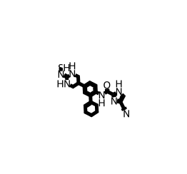 N#Cc1c[nH]c(C(=O)Nc2ccc(C3CNC(=NS)NC3)cc2C2=CCCCC2)n1